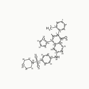 Cc1ccccc1-n1nc(-c2ccco2)c2nc(Nc3ccc(S(=O)(=O)N4CCOCC4)cc3)ncc2c1=O